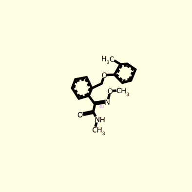 CNC(=O)/C(=N/OC)c1ccccc1COc1ccccc1C